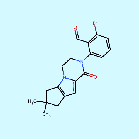 CC1(C)Cc2cc3n(c2C1)CCN(c1cccc(Br)c1C=O)C3=O